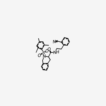 Cc1cc(C)c(S(=O)(=O)N2Cc3ccccc3CC2C(=O)NCCc2ccccc2C#N)c(C)c1